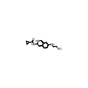 O=NCCNc1ccc2c(c1)=CNC(NC(=O)C1CC1)C=2